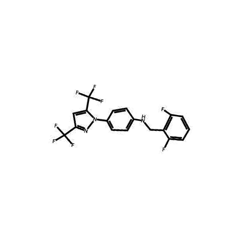 Fc1cccc(F)c1CNc1ccc(-n2nc(C(F)(F)F)cc2C(F)(F)F)cc1